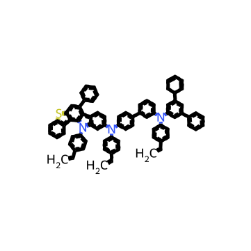 C=Cc1ccc(N(c2cccc(-c3ccc(N(c4ccc(C=C)cc4)c4ccc5c6c(-c7ccccc7)cc7sc8ccccc8c7c6n(-c6ccc(C=C)cc6)c5c4)cc3)c2)c2cc(-c3ccccc3)cc(C3C=CC=CC3)c2)cc1